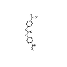 CONc1ccc(OC(=O)Oc2ccc([N+](=O)[O-])cc2)cc1